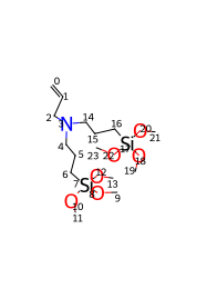 C=CCN(CCC[Si](OC)(OC)OC)CCC[Si](OC)(OC)OC